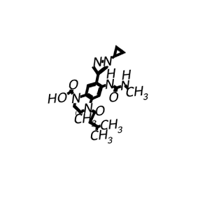 CNC(=O)Nc1cc2c(cc1-c1cnn(C3CC3)c1)N(C(=O)O)C[C@H](C)N2C(=O)CC(C)C